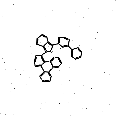 c1ccc(-c2cccc(-c3oc(-c4cccc5c6ccccc6c6ccccc6c45)c4ccccc34)c2)cc1